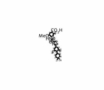 COc1cc(C(=O)O)c(F)cc1NS(=O)(=O)c1csc(-c2cc(F)c(C3=CCC(C)(C)CC3)c(F)c2)n1